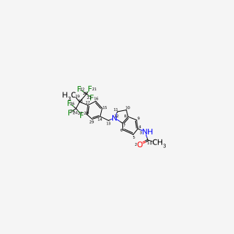 CC(=O)Nc1ccc2c(c1)CCN2Cc1ccc(C(C)(C(F)(F)F)C(F)(F)F)cc1